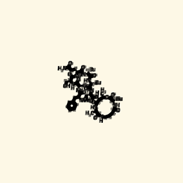 CC[C@H](C)[C@H](NC(=O)[C@@H](Cc1ccccc1)NC)C(=O)N[C@@H](CO)C(=O)N[C@H](CCC(N)=O)C(=O)N[C@@H](C(=O)N[C@H](C(=O)N[C@@H](CO)C(=O)N[C@H]1C(=O)N[C@@H](C)C(=O)NCCCC(=O)N[C@@H]([C@@H](C)CC)C(=O)O[C@H]1C)[C@@H](C)CC)[C@@H](C)CC